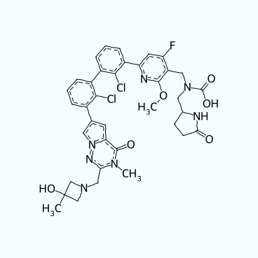 COc1nc(-c2cccc(-c3cccc(-c4cc5c(=O)n(C)c(CN6CC(C)(O)C6)nn5c4)c3Cl)c2Cl)cc(F)c1CN(CC1CCC(=O)N1)C(=O)O